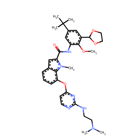 COc1c(NC(=O)c2cc3cccc(Oc4ccnc(NCCN(C)C)n4)c3n2C)cc(C(C)(C)C)cc1C1OCCO1